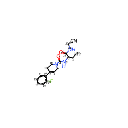 CC(C)CC(NC(=O)N1CC=C(c2ccccc2F)CC1)C(=O)NCC#N